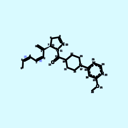 C=C(/C=C\C=C/C)[C@@H]1CC=NN1C(=O)C1CCN(c2cc(OC)ncn2)CC1